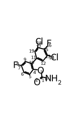 NC(=O)Oc1ccc(F)cc1-c1cc(Cl)c(F)c(Cl)c1